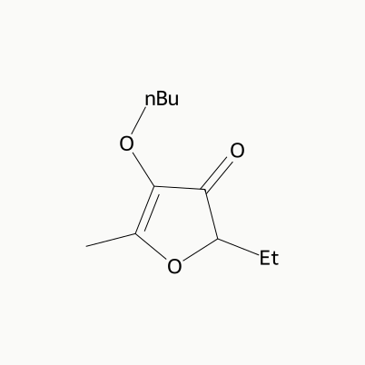 CCCCOC1=C(C)OC(CC)C1=O